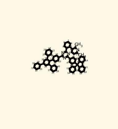 Cc1ccc(-c2ccccc2-c2nc(-c3ccc(-c4c(-c5ccccc5)cc(-c5ccccc5)cc4-c4ccccc4)cc3)nc(-c3ccc(C4(c5ccccc5)c5ccccc5-c5ccccc54)cc3)n2)c(C)n1